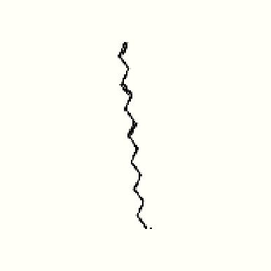 [CH2]CCCCCCC=CCC=CCC=C